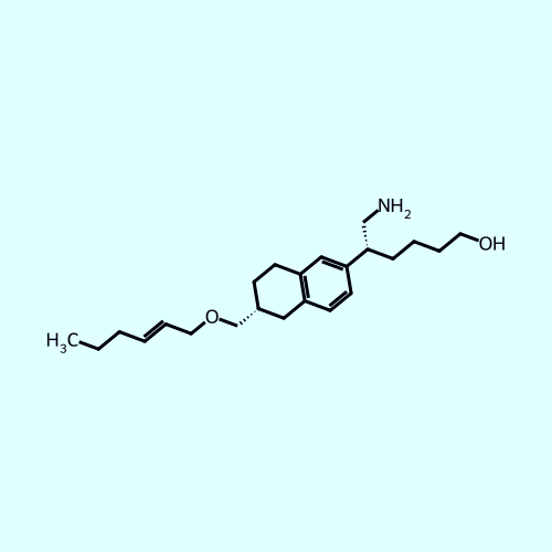 CCC/C=C/COC[C@@H]1CCc2cc([C@H](CN)CCCCO)ccc2C1